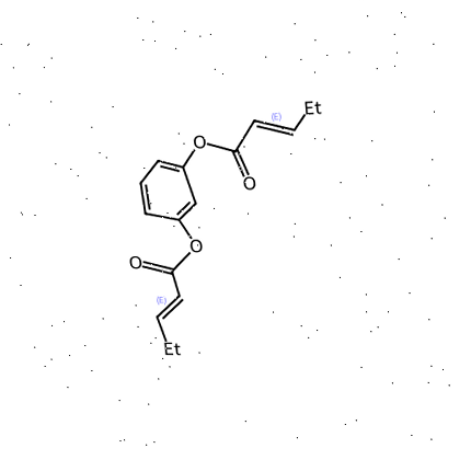 CC/C=C/C(=O)Oc1cccc(OC(=O)/C=C/CC)c1